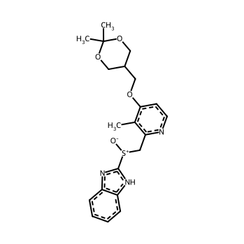 Cc1c(OCC2COC(C)(C)OC2)ccnc1C[S+]([O-])c1nc2ccccc2[nH]1